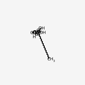 CCCCCCCCCCCCCCCCCCCCCCOC1C(O)[C@@H](CO)O[C@H]1n1ccc(=O)[nH]c1=O